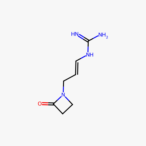 N=C(N)NC=CCN1CCC1=O